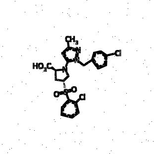 Cc1cc(N2C[C@H](S(=O)(=O)c3ccccc3Cl)C[C@H]2C(=O)O)n(Cc2ccc(Cl)cc2)n1